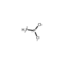 PP(Cl)Cl